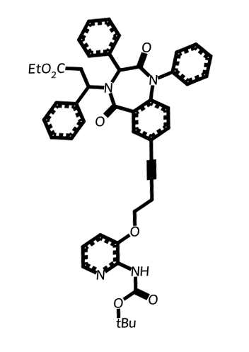 CCOC(=O)CC(c1ccccc1)N1C(=O)c2cc(C#CCCOc3cccnc3NC(=O)OC(C)(C)C)ccc2N(c2ccccc2)C(=O)C1c1ccccc1